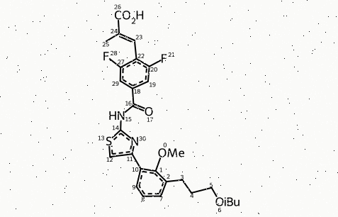 COc1c(CCCOCC(C)C)cccc1-c1csc(NC(=O)c2cc(F)c(C=C(C)C(=O)O)c(F)c2)n1